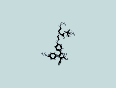 COCCN(CCOc1ccc(-c2[nH]c(N)c(C#N)c2-c2ccc(OC)cc2)cc1)C(=O)OC(C)(C)C